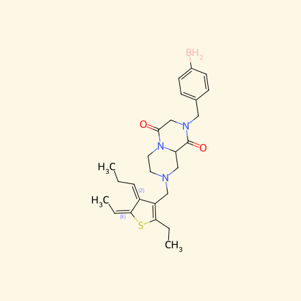 Bc1ccc(CN2CC(=O)N3CCN(Cc4c(CC)sc(=C/C)/c4=C\CC)CC3C2=O)cc1